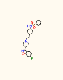 O=S(=O)(NC1CCC(CCN2CCC(c3noc4cc(F)ccc34)CC2)CC1)c1ccccc1